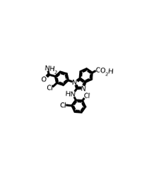 NC(=O)c1ccc(-n2c(Nc3c(Cl)cccc3Cl)nc3cc(C(=O)O)ccc32)cc1Cl